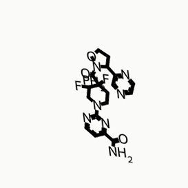 NC(=O)c1ccnc(N2CCC(F)(C(=O)N3OCCC3c3cnccn3)C(F)(P)C2)n1